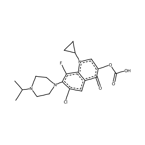 CC(C)N1CCN(c2c(Cl)cc3c(=O)c(OC(=O)O)cn(C4CC4)c3c2F)CC1